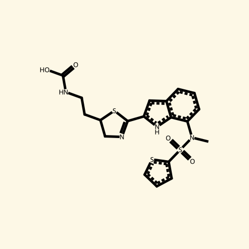 CN(c1cccc2cc(C3=NCC(CCNC(=O)O)S3)[nH]c12)S(=O)(=O)c1cccs1